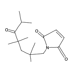 CC(C)C(=O)C(C)(C)CC(C)(C)CN1C(=O)C=CC1=O